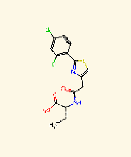 CCC(NC(=O)Cc1csc(-c2ccc(Cl)cc2Cl)n1)C(=O)O